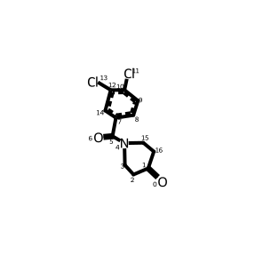 O=C1CCN(C(=O)c2ccc(Cl)c(Cl)c2)CC1